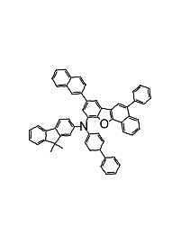 CC1(C)c2ccccc2-c2ccc(N(C3=CCC(c4ccccc4)C=C3)c3cc(-c4ccc5ccccc5c4)cc4c3oc3c5ccccc5c(-c5ccccc5)cc43)cc21